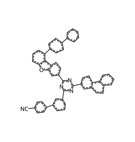 N#Cc1ccc(-c2cccc(-c3nc(-c4ccc5c(ccc6ccccc65)c4)nc(-c4ccc5c(c4)oc4cccc(-c6ccc(-c7ccccc7)cc6)c45)n3)c2)cc1